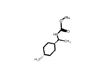 CC(NC(=O)OC(C)(C)C)[C@H]1CC[C@H](C)CC1